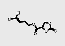 O=C1OCC(C(=O)OCCC=C(Cl)Cl)O1